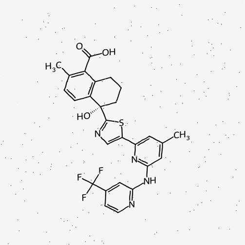 Cc1cc(Nc2cc(C(F)(F)F)ccn2)nc(-c2cnc([C@]3(O)CCCc4c3ccc(C)c4C(=O)O)s2)c1